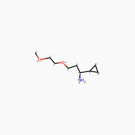 COCCOCC[C@H](N)C1CC1